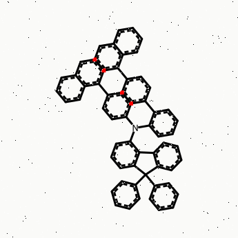 c1ccc(C2(c3ccccc3)c3ccccc3-c3c(N(c4ccc(-c5cccc6ccccc56)cc4)c4ccccc4-c4ccc(-c5cccc6ccccc56)cc4)cccc32)cc1